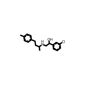 Cc1ccc(CCC(C)NCC(O)c2cccc(Cl)c2)cc1